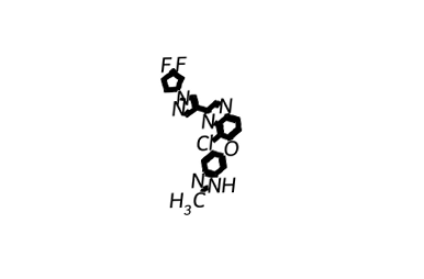 Cc1nc2ccc(Oc3ccc4ncc(-c5cnn(C6CCC(F)(F)C6)c5)nc4c3Cl)cc2[nH]1